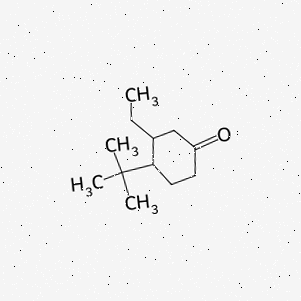 CCC1CC(=O)CCC1C(C)(C)C